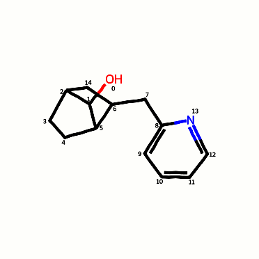 OC1C2CCC1C(Cc1ccccn1)C2